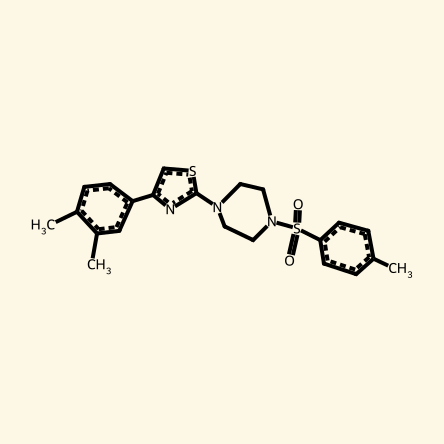 Cc1ccc(S(=O)(=O)N2CCN(c3nc(-c4ccc(C)c(C)c4)cs3)CC2)cc1